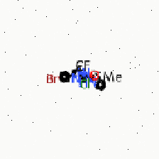 CSc1ccccc1NC(=O)c1nn2c(C(F)(F)F)cc(-c3ccc(Br)cc3)nc2c1Cl